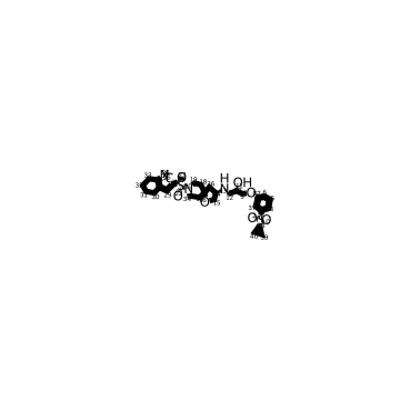 O=S(=O)(c1cccc(OC[C@@H](O)CN[C@H]2COC3(CCN(S(=O)(=O)c4cnc5c(c4)CCCC5)CC3)C2)c1)C1CC1